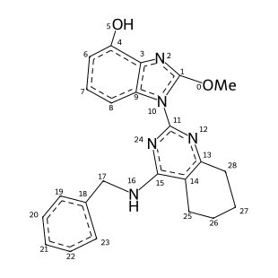 COc1nc2c(O)cccc2n1-c1nc2c(c(NCc3ccccc3)n1)CCCC2